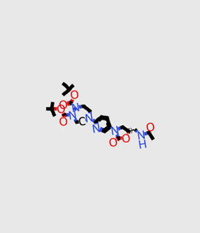 CC(=O)NC[C@H]1CN(c2ccc(N3CCN(C(=O)OC(C)(C)C)N(C(=O)OC(C)(C)C)CC3)nc2)C(=O)O1